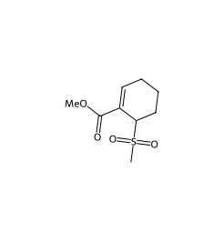 COC(=O)C1=CCCCC1S(C)(=O)=O